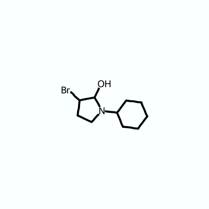 OC1C(Br)CCN1C1CCCCC1